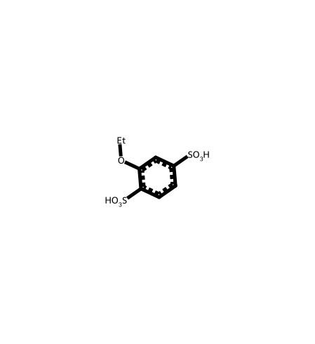 CCOc1cc(S(=O)(=O)O)ccc1S(=O)(=O)O